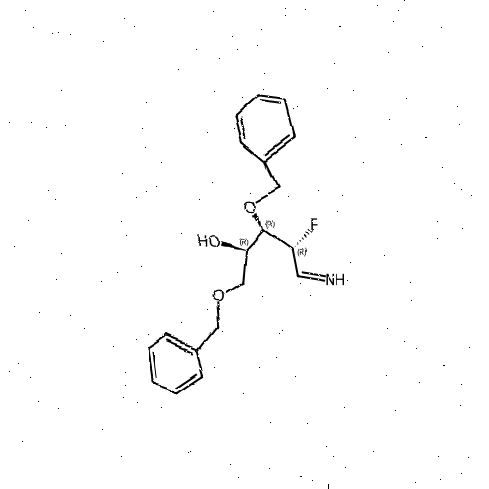 N=C[C@@H](F)[C@H](OCc1ccccc1)[C@H](O)COCc1ccccc1